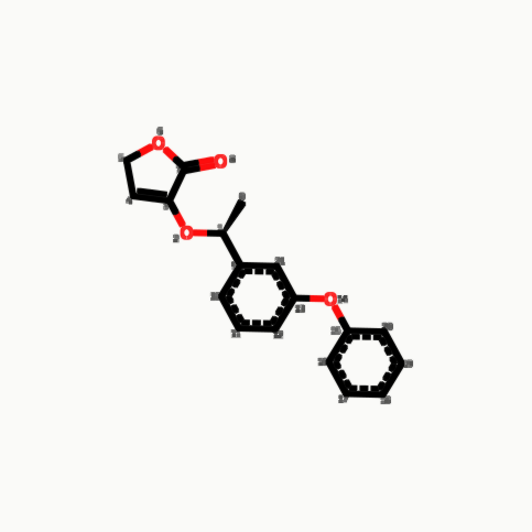 C[C@H](OC1=CCOC1=O)c1cccc(Oc2ccccc2)c1